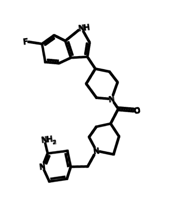 Nc1cc(CN2CCC(C(=O)N3CCC(c4c[nH]c5cc(F)ccc45)CC3)CC2)ccn1